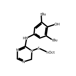 CCCCCCCCSN1CN=CN=C1Nc1cc(C(C)(C)C)c(O)c(C(C)(C)C)c1